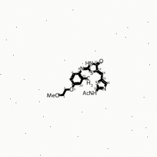 COCCOc1ccc(N=C2NC(=O)C(=Cc3cnc(NC(C)=O)s3)S2)c(C)c1